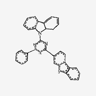 C1=CCC2C(=C1)c1ccccc1N2c1nc(-c2ccccc2)nc(-c2ccc3c(c2)sc2ccccc23)n1